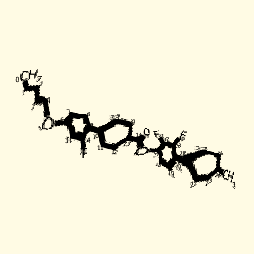 CCCCCOc1ccc(C2CCC(C(=O)Oc3ccc(C4CCC(C)CC4)c(F)c3F)CC2)c(F)c1